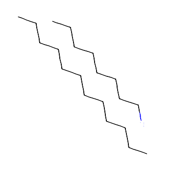 CCCCCCCCCCCC.CCCCCCCCN